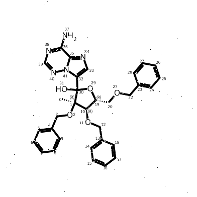 C[C@@]1(OCc2ccccc2)[C@H](OCc2ccccc2)[C@@H](COCc2ccccc2)OC1(O)c1cnc2c(N)ncnn12